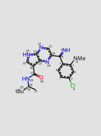 CNc1cc(Cl)ccc1C(=N)c1cnc2[nH]cc(C(=O)N[C@@H](C)C(C)(C)C)c2n1